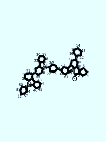 O=c1c2ccccc2c2cc(-c3ccccc3)cc3c4cc(-c5ccc(-n6c7ccccc7c7cc(-c8cccc9c8c8ccccc8n9-c8ccccc8)ccc76)cc5)ccc4n1c23